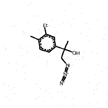 CCc1cc(C(C)(O)CN=[N+]=[N-])ccc1C